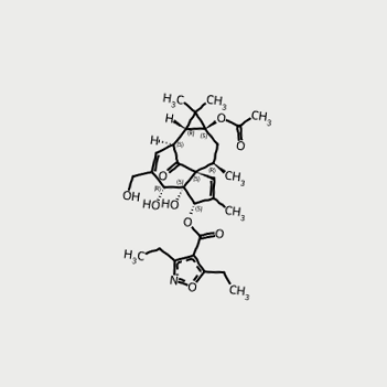 CCc1noc(CC)c1C(=O)O[C@H]1C(C)=C[C@]23C(=O)[C@@H](C=C(CO)[C@@H](O)[C@]12O)[C@@H]1C(C)(C)[C@]1(OC(C)=O)C[C@H]3C